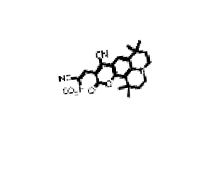 CC1(C)CCN2CCC(C)(C)c3c2c1cc1c(C#N)c(/C=C(/C#N)C(=O)O)c(=O)oc31